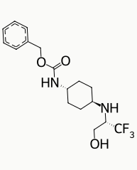 O=C(N[C@H]1CC[C@H](N[C@@H](CO)C(F)(F)F)CC1)OCc1ccccc1